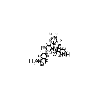 C[C@@H]1CN(c2cc(F)c(-c3ccc(C(N)=O)c(F)c3)cc2NC(=O)C2=CNCC=C2C(F)(F)F)C[C@H](C)N1C